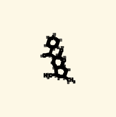 Cc1cc(C)c2cc(C(=O)c3ccncc3)c(=O)oc2c1